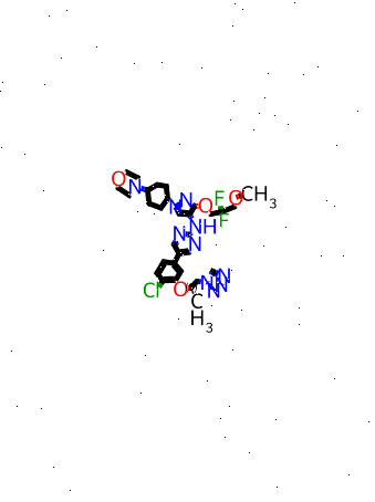 COCC(F)(F)COc1nn(C2CCC(N3CCOCC3)CC2)cc1Nc1ncc(-c2ccc(Cl)c(O[C@@H](C)Cn3cnnn3)c2)cn1